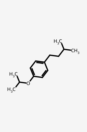 CC(C)CCc1ccc(OC(C)C)cc1